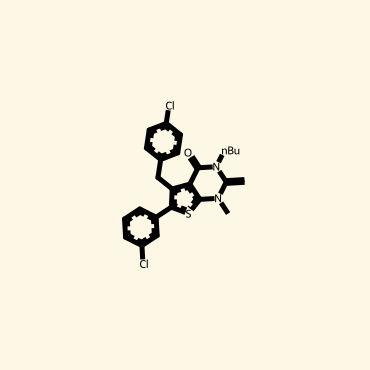 C=C1N(CCCC)C(=O)c2c(sc(-c3cccc(Cl)c3)c2Cc2ccc(Cl)cc2)N1C